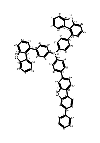 c1ccc(-c2ccc3c(c2)oc2cc(-c4ccc(N(c5ccc(-c6cccc7oc8ccccc8c67)cc5)c5ccc(-c6cccc7oc8ccccc8c67)cc5)cc4)ccc23)cc1